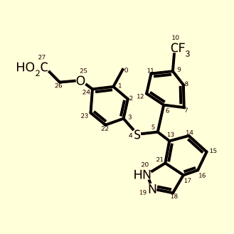 Cc1cc(SC(c2ccc(C(F)(F)F)cc2)c2cccc3cn[nH]c23)ccc1OCC(=O)O